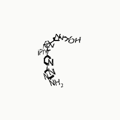 CC(C)[C@](C)(c1ccc(-c2cnc(N)cn2)nc1)c1noc(-c2cnn(CC(C)(C)O)c2)n1